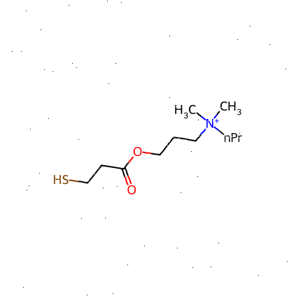 CCC[N+](C)(C)CCCOC(=O)CCS